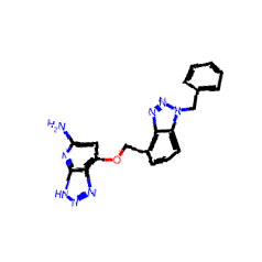 Nc1cc(OCc2cccc3c2nnn3Cc2ccccc2)c2nn[nH]c2n1